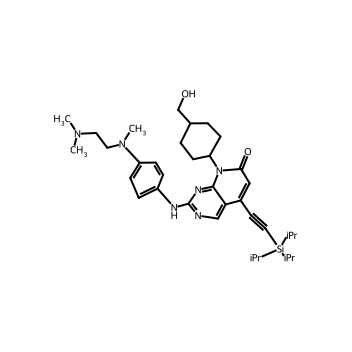 CC(C)[Si](C#Cc1cc(=O)n(C2CCC(CO)CC2)c2nc(Nc3ccc(N(C)CCN(C)C)cc3)ncc12)(C(C)C)C(C)C